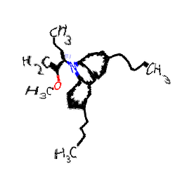 C=C(OC)/C(=C\CC)n1c2ccc(CCCC)cc2c2cc(CCCC)ccc21